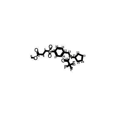 COC(=O)CCS(=O)(=O)c1ccc(CN(C(=O)C(F)(F)F)C2CCCC2)cc1